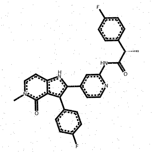 C[C@H](C(=O)Nc1cc(-c2[nH]c3ccn(C)c(=O)c3c2-c2ccc(F)cc2)ccn1)c1ccc(F)cc1